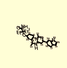 CCC(CC)(Oc1cccc(C(C)Nc2cc(-c3ccc4ccn(C)c4c3)nc(C)n2)c1)C(N)=O